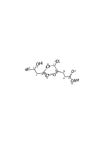 CCCC(O)CC(=O)OC(CC)C(=O)CCC(=O)OC